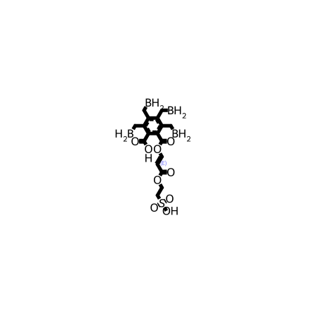 BCc1c(CB)c(CB)c(C(=O)O/C=C/C(=O)OCCS(=O)(=O)O)c(C(=O)O)c1CB